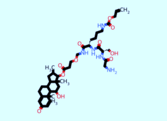 C=CCOC(=O)NCCCC[C@H](NC(=O)[C@H](CO)NC(=O)CN)C(=O)NCOCCC(=O)OC1C(C)CC2C3CCC4=CC(=O)C=CC4(C)C3C(O)CC21C